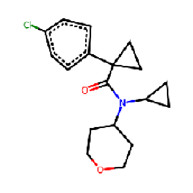 O=C(N(C1CCOCC1)C1CC1)C1(c2ccc(Cl)cc2)CC1